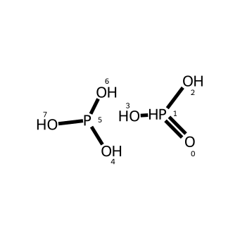 O=[PH](O)O.OP(O)O